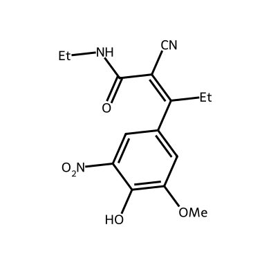 CCNC(=O)C(C#N)=C(CC)c1cc(OC)c(O)c([N+](=O)[O-])c1